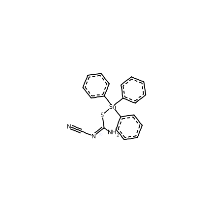 N#C/N=C(/N)[S][Sn]([c]1ccccc1)([c]1ccccc1)[c]1ccccc1